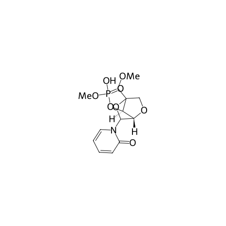 COCC12CO[C@H](C(n3ccccc3=O)O1)[C@H]2OP(=O)(O)OC